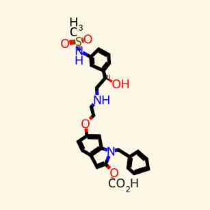 CS(=O)(=O)Nc1cccc([C@@H](O)CNCCOc2ccc3cc(OC(=O)O)n(Cc4ccccc4)c3c2)c1